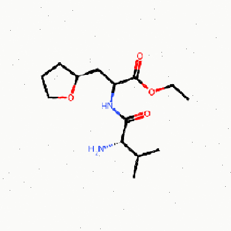 CCOC(=O)C(C[C@@H]1CCCO1)NC(=O)[C@@H](N)C(C)C